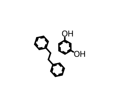 Oc1cccc(O)c1.c1ccc(CCc2ccccc2)cc1